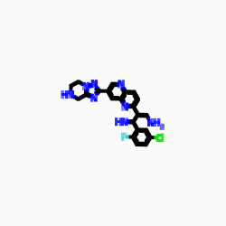 N=C(/C(=C\N)c1ccc2ncc(-c3nc4n(n3)CCNC4)cc2n1)c1cc(Cl)ccc1F